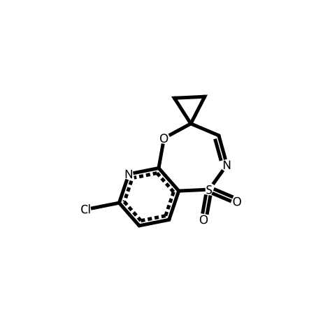 O=S1(=O)N=CC2(CC2)Oc2nc(Cl)ccc21